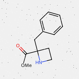 COC(=O)C1(Cc2ccccc2)CCN1